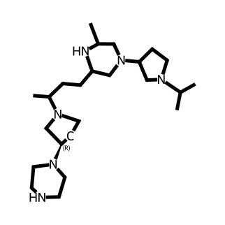 CC1CN(C2CCN(C(C)C)C2)CC(CCC(C)N2CC[C@@H](N3CCNCC3)C2)N1